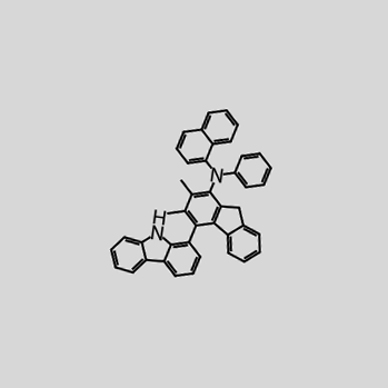 Cc1c(C)c(N(c2ccccc2)c2cccc3ccccc23)c2c(c1-c1cccc3c1[nH]c1ccccc13)-c1ccccc1C2